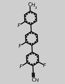 C#Cc1c(F)cc(-c2ccc(-c3ccc(C)cc3F)cc2F)cc1F